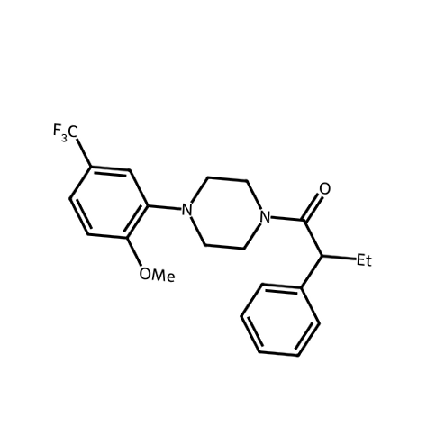 CCC(C(=O)N1CCN(c2cc(C(F)(F)F)ccc2OC)CC1)c1ccccc1